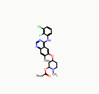 CNC(=O)OC1CC(Oc2cc3c(Nc4cccc(Cl)c4F)ncnc3cc2OC)CCN1C